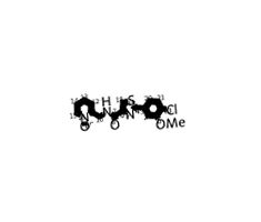 COc1cc(-c2nc(C(=O)NCc3cccc[n+]3[O-])cs2)ccc1Cl